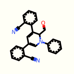 N#Cc1ccccc1C1=CN(c2ccccc2)C(C=O)C(c2ccccc2C#N)=C1